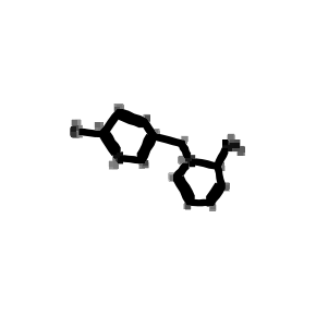 NC1C=CC=CN1Cc1ccc(Cl)nc1